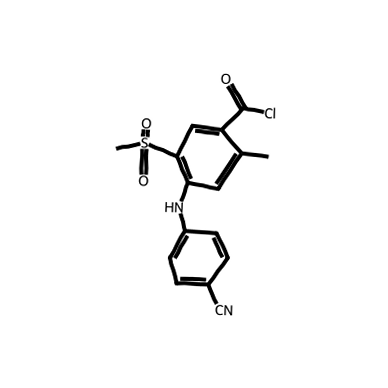 Cc1cc(Nc2ccc(C#N)cc2)c(S(C)(=O)=O)cc1C(=O)Cl